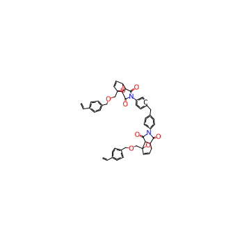 C=Cc1ccc(COCC23C=CC(O2)C2C(=O)N(c4ccc(Cc5ccc(N6C(=O)C7C8C=CC(COCc9ccc(C=C)cc9)(O8)C7C6=O)cc5)cc4)C(=O)C23)cc1